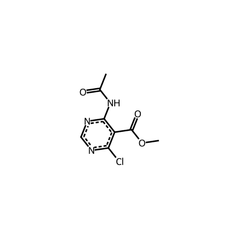 COC(=O)c1c(Cl)ncnc1NC(C)=O